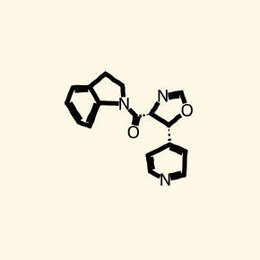 O=C([C@@H]1N=CO[C@@H]1c1ccncc1)N1CCc2ccccc21